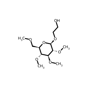 COC[C@H]1O[C@@H](OCCO)[C@H](OC)[C@@H](OC)[C@@H]1OC